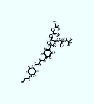 CCC[C@H]1CC[C@H](/C=C/CCc2ccc(C3O[C@H](OC(=O)OC(C)C)[C@@H](OC(=O)OC(C)C)O3)cc2)CC1